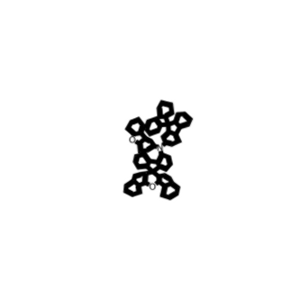 c1ccc(C2(c3ccccc3)c3ccccc3-c3ccc(N(c4ccc5oc6ccccc6c5c4)c4cccc5c4-c4ccccc4C54c5ccc6ccccc6c5Oc5c4ccc4ccccc54)cc32)cc1